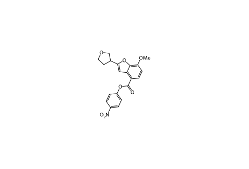 COc1ccc(C(=O)Oc2ccc([N+](=O)[O-])cc2)c2cc(C3CCOC3)oc12